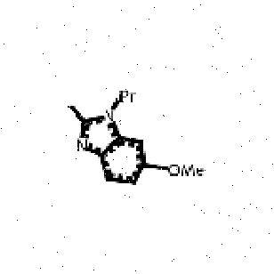 COc1ccc2nc(C)n(C(C)C)c2c1